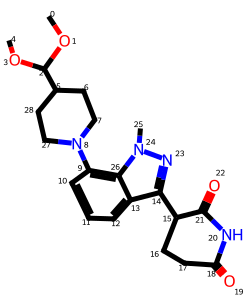 COC(OC)C1CCN(c2cccc3c(C4CCC(=O)NC4=O)nn(C)c23)CC1